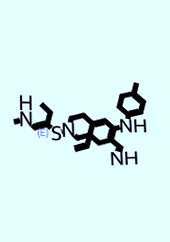 C=CC12CC(C=N)=C(NC3=CC=C(C)CC3)C=C1CCN(S/C(=C/NC)CC)C2